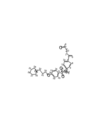 C=C(CSC(C)=O)c1ccc(NS(=O)(=O)c2ccc(OCCCN3CCCCC3)cc2)cc1